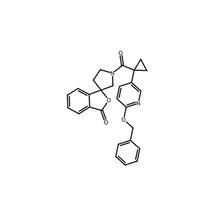 O=C1OC2(CCN(C(=O)C3(c4ccc(OCc5ccccc5)nc4)CC3)C2)c2ccccc21